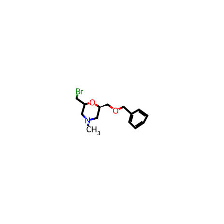 CN1CC(CBr)O[C@@H](COCc2ccccc2)C1